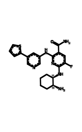 NC(=O)c1cc(F)c(N[C@@H]2CCCC[C@@H]2N)nc1Nc1cncc(-c2cccs2)c1